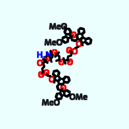 COc1ccc(C2(c3ccc(OC)cc3)C=Cc3c4c(c5ccccc5c3O2)-c2ccccc2C4(C)OCCOC(=O)CCC(=O)C(C)(C)OC(C)CC(C)(C)OC(C)(N)CC(C)OC(C)(C)C(=O)CCC(=O)OCCOC2(C)c3ccccc3-c3c2c2c(c4ccccc34)OC(c3ccc(OC)cc3)(c3ccc(OC)cc3)C=C2)cc1